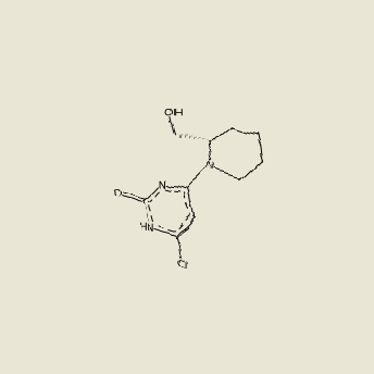 O=c1nc(N2CCCC[C@H]2CO)cc(Cl)[nH]1